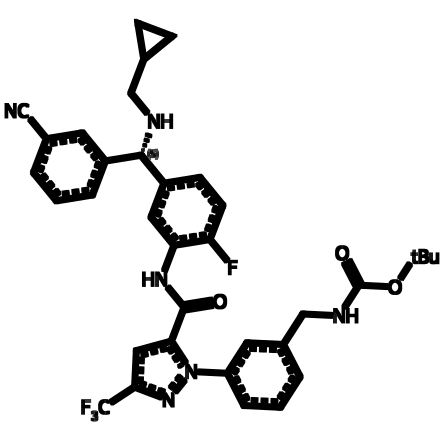 CC(C)(C)OC(=O)NCc1cccc(-n2nc(C(F)(F)F)cc2C(=O)Nc2cc([C@@H](NCC3CC3)c3cccc(C#N)c3)ccc2F)c1